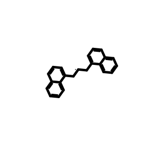 [CH](Cc1cccc2ccccc12)Cc1cccc2ccccc12